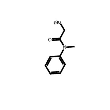 CN(C(=O)CC(C)(C)C)c1ccccc1